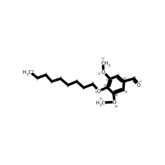 CCCCCCCCCOc1c(OC)cc(C=O)cc1OC